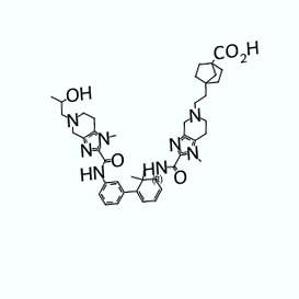 CC(O)CN1CCc2c(nc(C(=O)Nc3cccc(C4=CC=C[C@@H](NC(=O)c5nc6c(n5C)CCN(CCC57CCC(C(=O)O)(CC5)C7)C6)C4(C)C)c3)n2C)C1